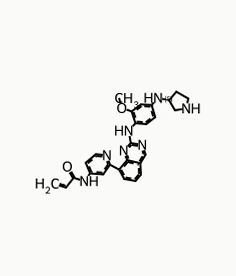 C=CC(=O)Nc1ccnc(-c2cccc3cnc(Nc4ccc(N[C@H]5CCNC5)cc4OC)nc23)c1